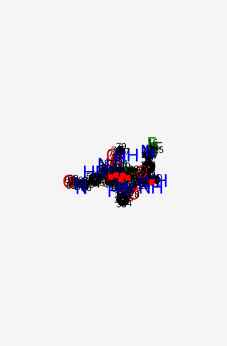 CC(C)(C)C[C@]1(c2ccc(-c3cnn(C(F)F)c3)cc2)NC(=N)N([C@H](COC(=O)Nc2ccccc2)c2ccc(Cl)c(-c3nc(CC(C)(C)C[C@]4(c5ccc(-c6cnn(C7COC7)c6)cc5)NC(=N)N([C@H](COC(=O)NC(C)(C)C)c5ccc(Cl)c(-c6ncn[nH]6)c5)C4=O)n[nH]3)c2)C1=O